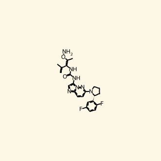 C=C(C)/C(NC(=O)Nc1cnc2ccc(N3CCC[C@@H]3c3cc(F)ccc3F)nn12)=C(/C)ON